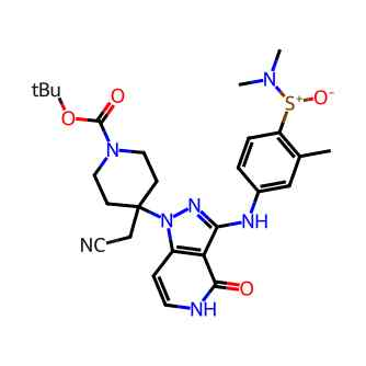 Cc1cc(Nc2nn(C3(CC#N)CCN(C(=O)OC(C)(C)C)CC3)c3cc[nH]c(=O)c23)ccc1[S+]([O-])N(C)C